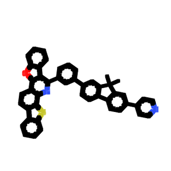 CC1(C)c2cc(-c3ccncc3)ccc2-c2ccc(-c3cccc(-c4nc5c(ccc6c7ccccc7sc65)c5oc6ccccc6c45)c3)cc21